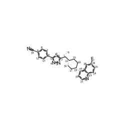 C[C@@H](c1nnc(-c2ccc(C#N)cc2)s1)[C@H]1CC[C@@H](c2ccnc3ccc(F)cc32)CC1